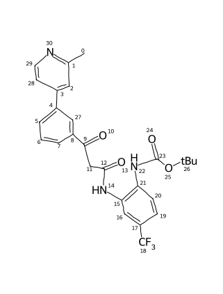 Cc1cc(-c2cccc(C(=O)CC(=O)Nc3cc(C(F)(F)F)ccc3NC(=O)OC(C)(C)C)c2)ccn1